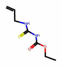 C=CCNC(=S)NC(=O)OCC